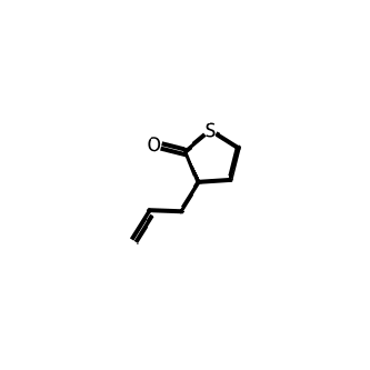 C=CCC1CCSC1=O